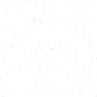 Cc1ccc(S(=O)(=O)Oc2cccc(C(CNC(=O)OC(C)(C)C)C(=O)OC(C)C)c2)cc1